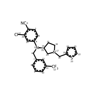 N#Cc1ccc(N(Cc2cccc(C(F)(F)F)c2)[C@H]2CCN(Cc3cccs3)C2)cc1Cl